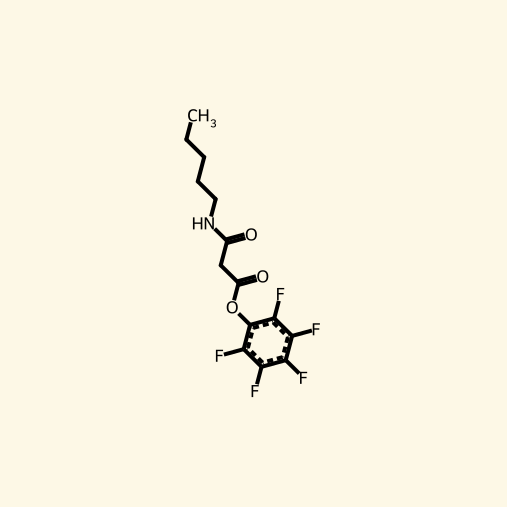 CCCCCNC(=O)CC(=O)Oc1c(F)c(F)c(F)c(F)c1F